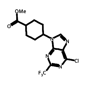 COC(=O)C1CCC(n2cnc3c(Cl)nc(C(F)(F)F)nc32)CC1